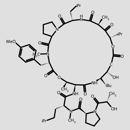 CC[C@H](C)[C@H]1NC(=O)[C@@H](NC(=O)[C@@H](CCC(C)C)N(C)C(=O)[C@@H]2CCCN2C(=O)[C@H](C)O)[C@@H](C)OC(=O)[C@H](Cc2ccc(OC)cc2)N(C)C(=O)C2CCCN2C(=O)[C@H](CC(C)C)NC(=O)[C@@H](C)C(=O)[C@H](C(C)C)OC(=O)C[C@@H]1O